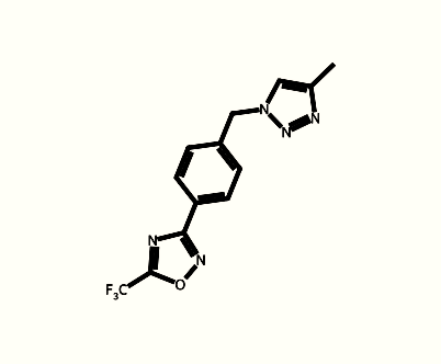 Cc1cn(Cc2ccc(-c3noc(C(F)(F)F)n3)cc2)nn1